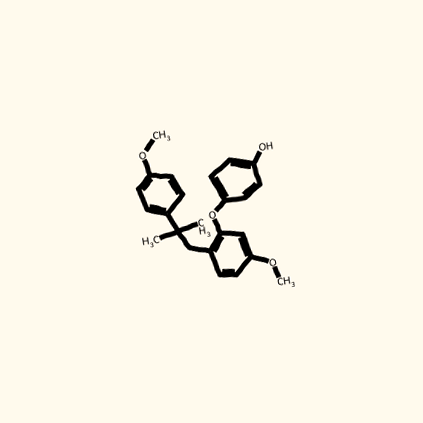 COc1ccc(C(C)(C)Cc2ccc(OC)cc2Oc2ccc(O)cc2)cc1